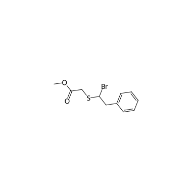 COC(=O)CSC(Br)Cc1ccccc1